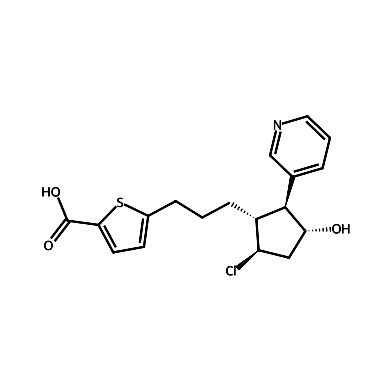 O=C(O)c1ccc(CCC[C@@H]2[C@@H](c3cccnc3)[C@H](O)C[C@H]2Cl)s1